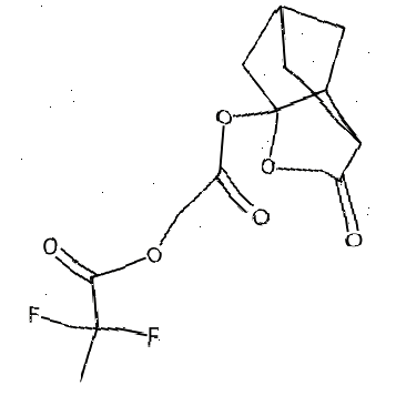 CC(F)(F)C(=O)OCC(=O)OC12CC3CC(C(=O)O1)C2C3